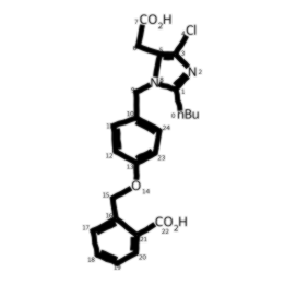 CCCCc1nc(Cl)c(CC(=O)O)n1Cc1ccc(OCc2ccccc2C(=O)O)cc1